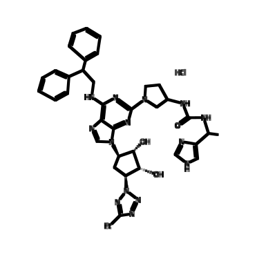 CCc1nnn([C@H]2C[C@@H](n3cnc4c(NCC(c5ccccc5)c5ccccc5)nc(N5CCC(NC(=O)NC(C)c6c[nH]cn6)C5)nc43)[C@H](O)[C@@H]2O)n1.Cl